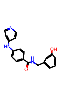 O=C(NCc1cccc(O)c1)c1ccc(Nc2ccncc2)cc1